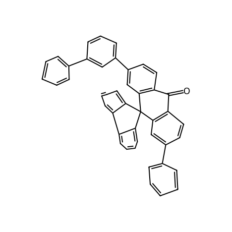 O=C1c2ccc(-c3ccccc3)cc2C2(c3cc(-c4cccc(-c5ccccc5)c4)ccc31)c1ccccc1-c1ccccc12